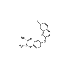 C[C@@H](Oc1ccc(Oc2ccc3ccc(F)cc3n2)cc1)C(=O)O